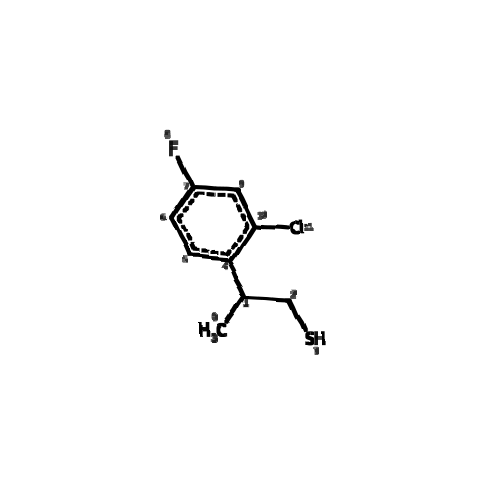 CC(CS)c1ccc(F)cc1Cl